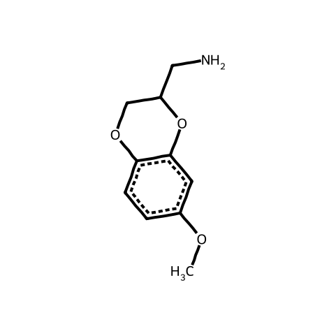 COc1ccc2c(c1)OC(CN)CO2